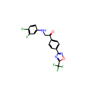 O=C(CNc1ccc(F)c(F)c1)c1ccc(-c2noc(C(F)(F)F)n2)cc1